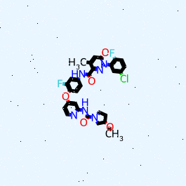 COC1CCN(C(=O)Nc2cc(Oc3ccc(NC(=O)c4nn(-c5cc(Cl)ccc5F)c(=O)cc4C)cc3F)ccn2)C1